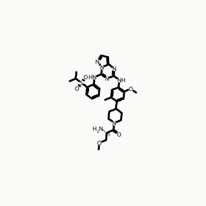 COC[C@H](N)C(=O)N1CCC(c2cc(OC)c(Nc3nc(Nc4ccccc4S(=O)(=O)C(C)C)n4nccc4n3)cc2C)CC1